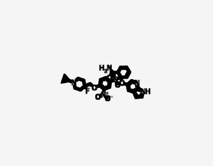 NC(=O)C1C=CC=CC1(Oc1cnc2[nH]ccc2c1)S(=O)(=O)c1ccc(OCC2(F)CCN(C3CC3)CC2)c([N+](=O)[O-])c1